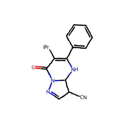 CC(C)C1=C(c2ccccc2)NC2C(C#N)C=NN2C1=O